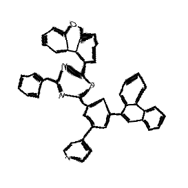 b1c(-c2cc(-c3ccncc3)cc(-c3cc4ccccc4c4ccccc34)c2)nc(-c2ccccc2)nc1-c1cccc2oc3ccccc3c12